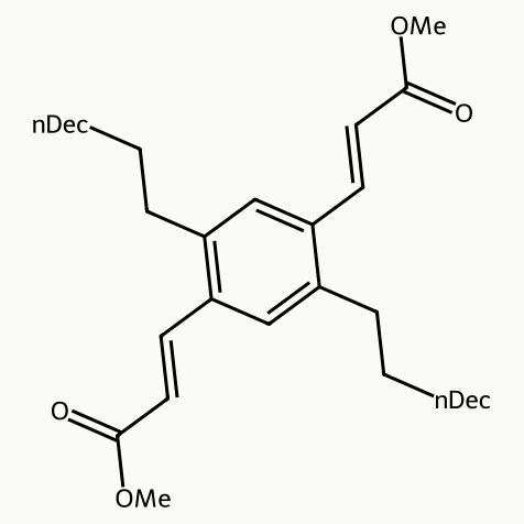 CCCCCCCCCCCCc1cc(/C=C/C(=O)OC)c(CCCCCCCCCCCC)cc1/C=C/C(=O)OC